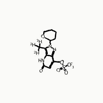 [2H]C([2H])([2H])c1c2[nH]c(=O)cc(OS(=O)(=O)C(F)(F)F)c2nn1C1CCCCO1